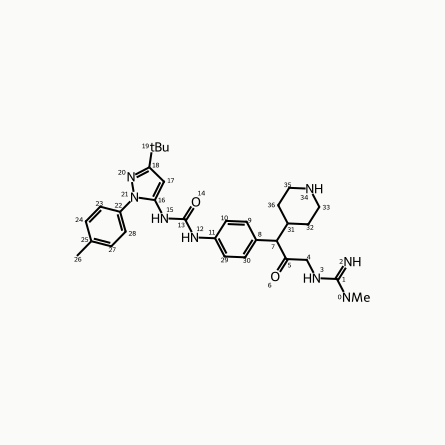 CNC(=N)NCC(=O)C(c1ccc(NC(=O)Nc2cc(C(C)(C)C)nn2-c2ccc(C)cc2)cc1)C1CCNCC1